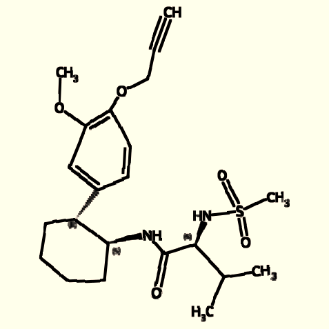 C#CCOc1ccc([C@H]2CCCC[C@@H]2NC(=O)[C@@H](NS(C)(=O)=O)C(C)C)cc1OC